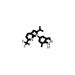 Cc1cc(-n2c(C(C)C)cc3ccc(C(F)(F)F)nc32)cc2cn[nH]c12